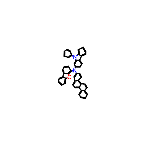 c1ccc(-n2c3ccccc3c3ccc(N(c4ccc5c(ccc6c7ccccc7ccc56)c4)c4cccc5c4oc4ccccc45)cc32)cc1